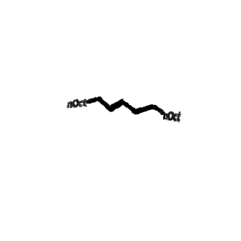 [CH2]CCCCCCCCC=CCCCCCCCCCC